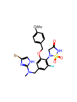 COc1ccc(COc2cc(CN(C)c3nc(Br)c[nH]3)cc(F)c2N2CC(=O)NS2(=O)=O)cc1